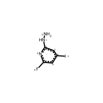 NNc1cc(I)cc(F)n1